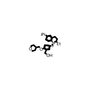 CCC1CCc2cc(C(C)C)ccc2N1Sc1ccc(OCC2CCOCC2)c(CO)c1